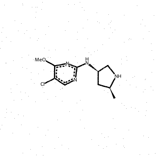 COc1nc(N[C@H]2CN[C@@H](C)C2)ncc1Cl